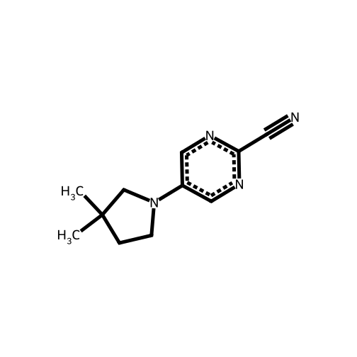 CC1(C)CCN(c2cnc(C#N)nc2)C1